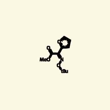 COC(=O)C(=NOC(C)(C)C)c1ccco1